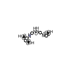 Cc1ccc2nc(-c3ccc(NC(=O)Nc4ccc(/N=N/c5cc(S(=O)(=O)O)c6cccc(S(=O)(=O)O)c6c5)cc4)cc3)sc2c1S(=O)(=O)O